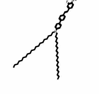 CCCCCCCCCCCCCCCCCCCCN(CCCCCCCCCCCCCCCCCCCC)c1ccc(-c2ccc(C=Cc3ccc([N+](=O)[O-])c(F)c3)cc2)cc1